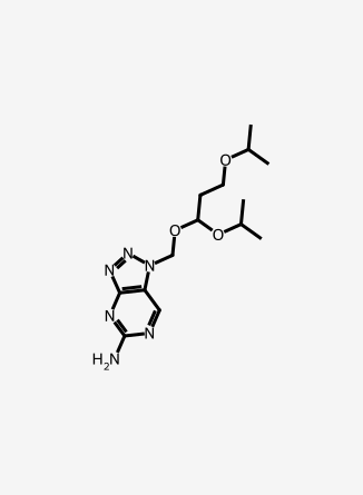 CC(C)OCCC(OCn1nnc2nc(N)ncc21)OC(C)C